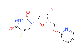 O=c1[nH]c(=O)n([C@@H]2CC(O)[C@H](COc3ccccn3)O2)cc1F